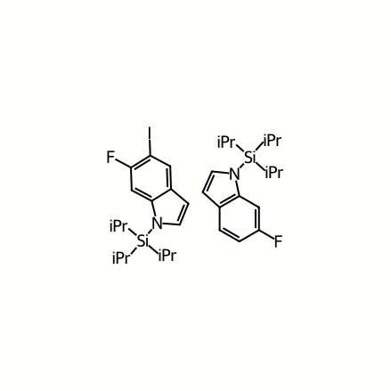 CC(C)[Si](C(C)C)(C(C)C)n1ccc2cc(I)c(F)cc21.CC(C)[Si](C(C)C)(C(C)C)n1ccc2ccc(F)cc21